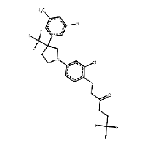 Cc1cc(Cl)cc(C2(C(F)(F)F)CCN(c3ccc(SCC(=O)CCC(F)(F)F)c(Cl)c3)C2)c1